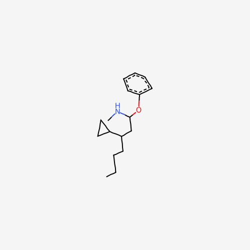 CCCCC(CC(NC)Oc1ccccc1)C1CC1